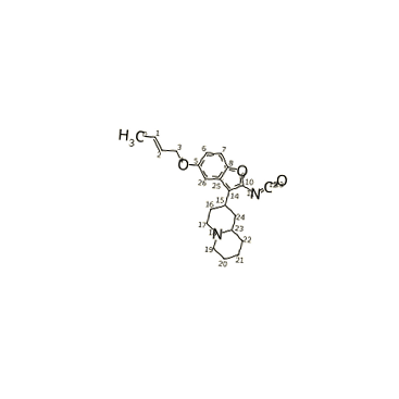 CC=CCOc1ccc2oc(N=C=O)c(C3CCN4CCCCC4C3)c2c1